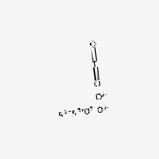 [Al+3].[Al+3].[O-2].[O-2].[O-2].[O]=[Ti]=[O]